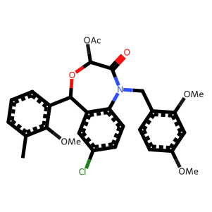 COc1ccc(CN2C(=O)C(OC(C)=O)OC(c3cccc(C)c3OC)c3cc(Cl)ccc32)c(OC)c1